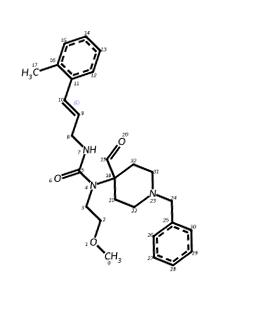 COCCN(C(=O)NC/C=C/c1ccccc1C)C1(C=O)CCN(Cc2ccccc2)CC1